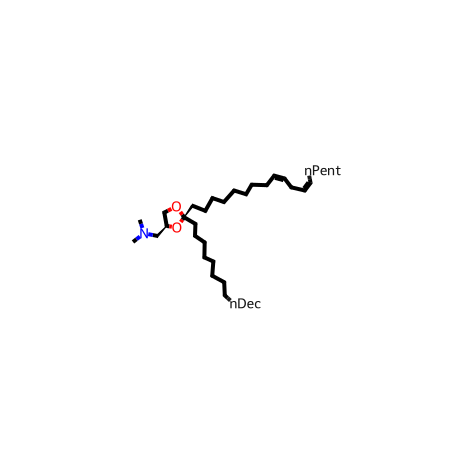 CCCCC/C=C\C/C=C\CCCCCCCC[C@]1(CCCCCCCCCCCCCCCCCC)OC[C@H](CN(C)C)O1